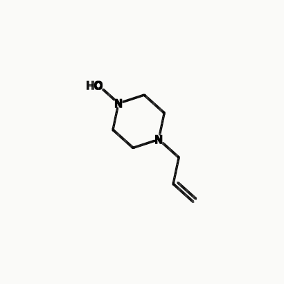 C=CCN1CCN(O)CC1